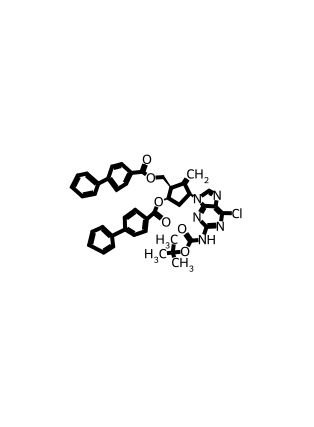 C=C1[C@H](COC(=O)c2ccc(-c3ccccc3)cc2)[C@@H](OC(=O)c2ccc(-c3ccccc3)cc2)C[C@@H]1n1cnc2c(Cl)nc(NC(=O)OC(C)(C)C)nc21